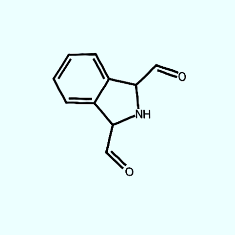 O=CC1NC(C=O)c2ccccc21